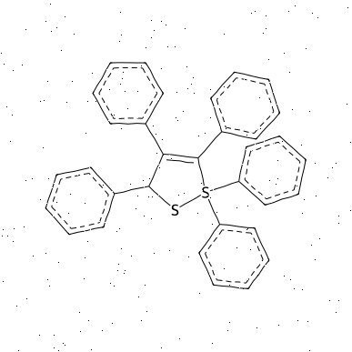 c1ccc(C2=C(c3ccccc3)S(c3ccccc3)(c3ccccc3)SC2c2ccccc2)cc1